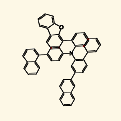 c1ccc(-c2ccc(-c3ccc4ccccc4c3)cc2N(c2ccc(-c3cccc4ccccc34)cc2)c2ccccc2-c2cccc3c2oc2ccccc23)cc1